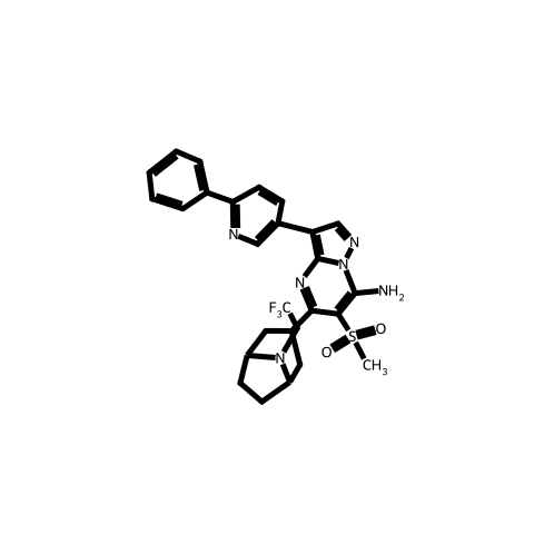 CS(=O)(=O)c1c(C2CC3CCC(C2)N3CC(F)(F)F)nc2c(-c3ccc(-c4ccccc4)nc3)cnn2c1N